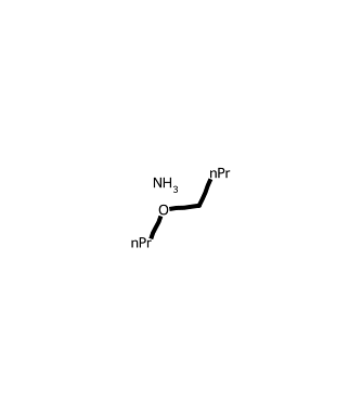 CCCCOCCC.N